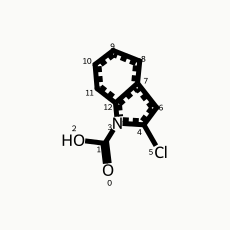 O=C(O)n1c(Cl)cc2ccccc21